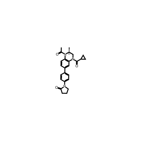 CC(=O)N1c2ccc(-c3ccc(N4CCCC4=O)cc3)cc2N(C(=O)C2CC2)C[C@@H]1C